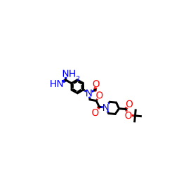 CC(C)(C)OC(=O)C1CCN(C(=O)C2CN(c3ccc(C(=N)N)cc3)C(=O)O2)CC1